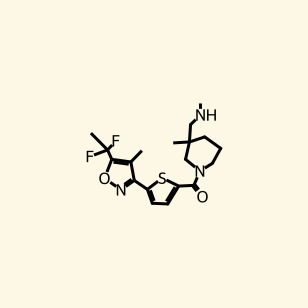 CNCC1(C)CCCN(C(=O)c2ccc(-c3noc(C(C)(F)F)c3C)s2)C1